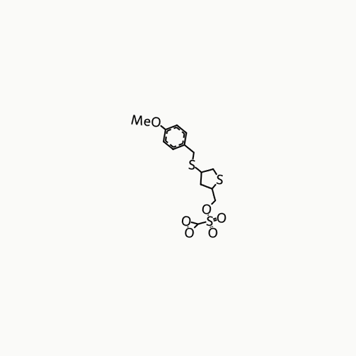 COc1ccc(CSC2CSC(COS(=O)(=O)C3OO3)C2)cc1